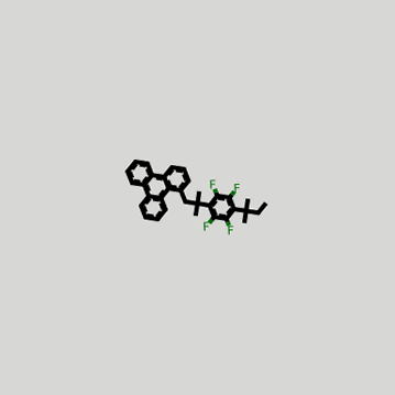 CCC(C)(C)c1c(F)c(F)c(C(C)(C)Cc2cccc3c4ccccc4c4ccccc4c23)c(F)c1F